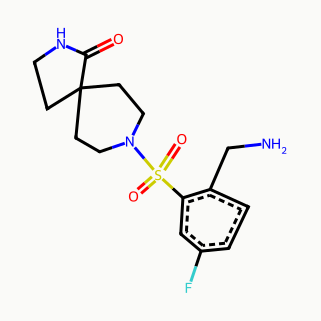 NCc1ccc(F)cc1S(=O)(=O)N1CCC2(CCNC2=O)CC1